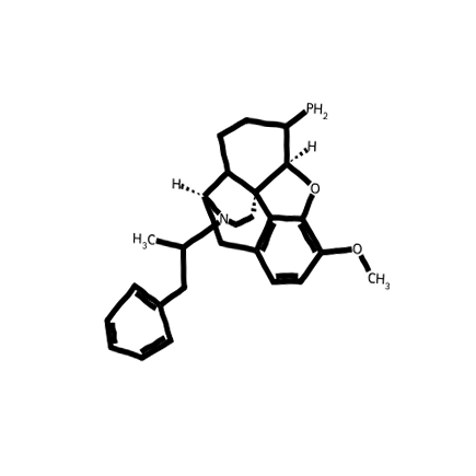 COc1ccc2c3c1O[C@@H]1C(P)CCC4[C@H](C2)N(C(C)Cc2ccccc2)CC[C@]341